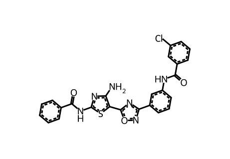 Nc1nc(NC(=O)c2ccccc2)sc1-c1nc(-c2cccc(NC(=O)c3cccc(Cl)c3)c2)no1